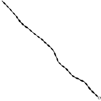 CC#CC#CC#CC#CC#CC#CC#CC#CC#CC#CC#CC#CC#CC#CC#CC#CC#CC#CC#CC#CC#CC#CC#CC#CC#CC#CC#CC#CC#N